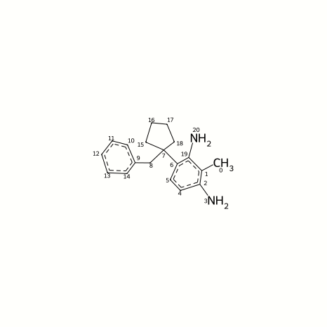 Cc1c(N)ccc(C2(Cc3ccccc3)CCCC2)c1N